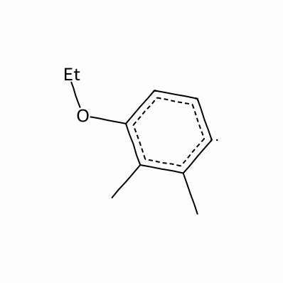 CCOc1cc[c]c(C)c1C